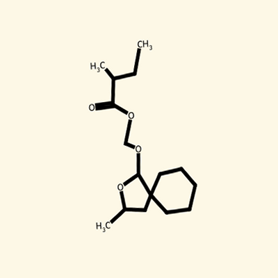 CCC(C)C(=O)OCOC1OC(C)CC12CCCCC2